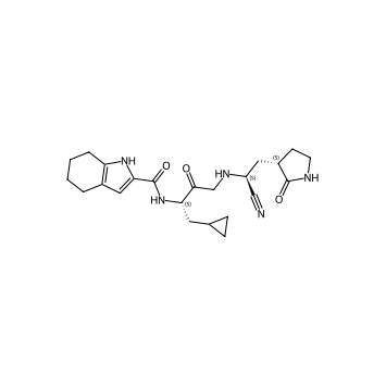 N#C[C@H](C[C@@H]1CCNC1=O)NCC(=O)[C@H](CC1CC1)NC(=O)c1cc2c([nH]1)CCCC2